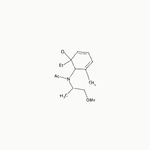 CCC1(Cl)C=CC=C(C)C1N(C(C)=O)C(C)COC